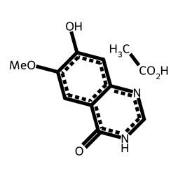 CC(=O)O.COc1cc2c(=O)[nH]cnc2cc1O